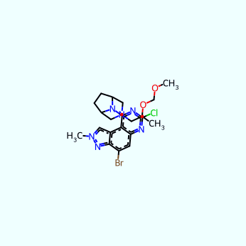 COCOC(C)CN1CC2CCC(C1)N2c1nc(Cl)nc2cc(Br)c3nn(C)cc3c12